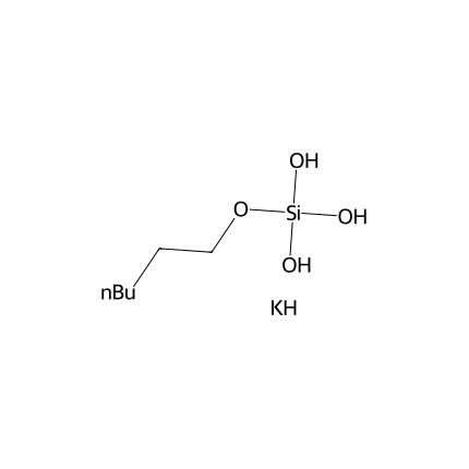 CCCCCCO[Si](O)(O)O.[KH]